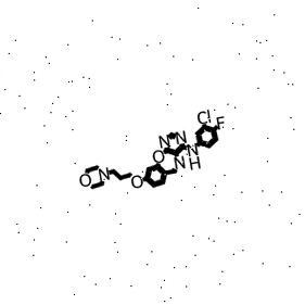 Fc1ccc(Nc2ncnc3c2N=Cc2ccc(OCCCN4CCOCC4)cc2O3)cc1Cl